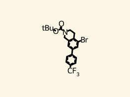 CC(C)(C)OC(=O)N1CCc2c(Br)cc(-c3ccc(C(F)(F)F)cc3)cc2C1